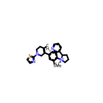 CSc1cc(C2=C(C)CCN(c3nccs3)C2)ccc1[N+]1(C)CCCC1c1cccnc1